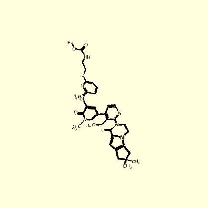 CC(=O)OCc1c(-c2cc(Nc3cccc(OCCNC(=O)OC(C)(C)C)n3)c(=O)n(C)c2)ccnc1N1CCn2c(cc3c2CC(C)(C)C3)C1=O